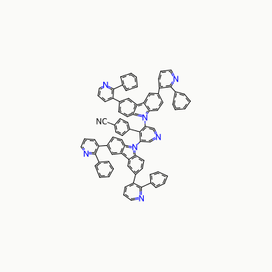 N#Cc1ccc(-c2c(-n3c4ccc(-c5cccnc5-c5ccccc5)cc4c4cc(-c5cccnc5-c5ccccc5)ccc43)cncc2-n2c3ccc(-c4cccnc4-c4ccccc4)cc3c3cc(-c4cccnc4-c4ccccc4)ccc32)cc1